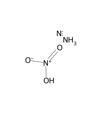 N.O=[N+]([O-])O.[N]